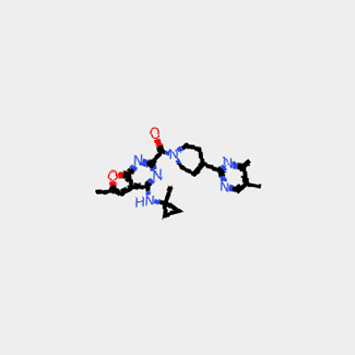 Cc1cc2c(NC3(C)CC3)nc(C(=O)N3CCC(c4ncc(C)c(C)n4)CC3)nc2o1